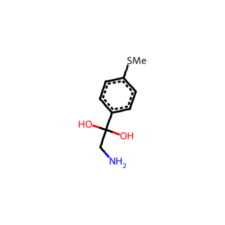 CSc1ccc(C(O)(O)CN)cc1